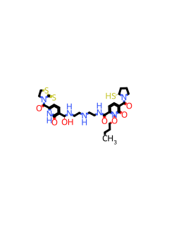 CCCCOn1c(C(=O)NCCNCCN[C@H](O)c2ccc(C(=O)N3CCSC3=S)[nH]c2=O)ccc(C(=O)N2CCC[C@H]2S)c1=O